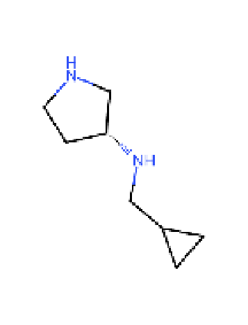 C1C[C@@H](NCC2CC2)CN1